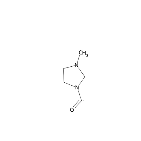 CN1CCN([C]=O)C1